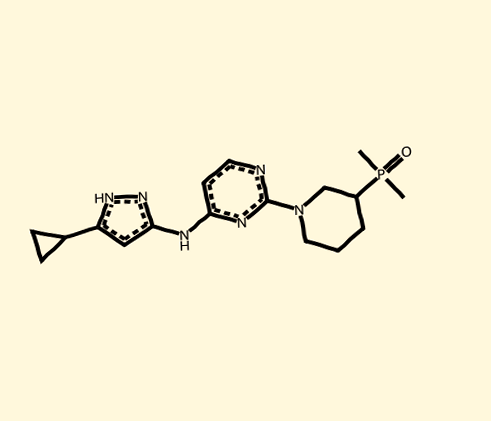 CP(C)(=O)C1CCCN(c2nccc(Nc3cc(C4CC4)[nH]n3)n2)C1